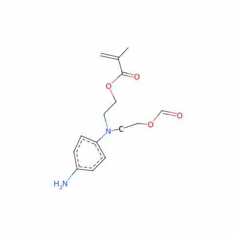 C=C(C)C(=O)OCCN(CCOC=O)c1ccc(N)cc1